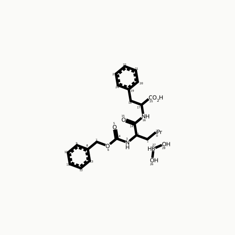 CC(C)CC(NC(=O)OCc1ccccc1)C(=O)NC(Cc1ccccc1)C(=O)O.OBO